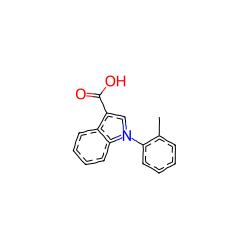 Cc1ccccc1-n1cc(C(=O)O)c2ccccc21